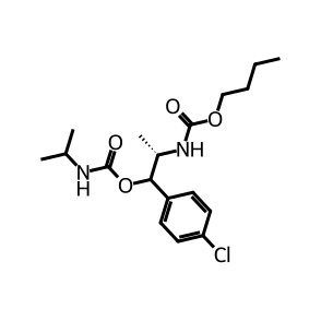 CCCCOC(=O)N[C@@H](C)C(OC(=O)NC(C)C)c1ccc(Cl)cc1